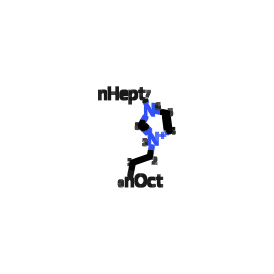 CCCCCCCCCC[n+]1ccn(CCCCCCC)c1